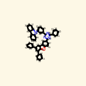 c1ccc(-c2cc(-c3ccccc3)c3oc4ccc(-c5nc(-c6ccccc6)nc(-c6cccc(-n7c8ccccc8c8ccccc87)c6)n5)cc4c3c2)cc1